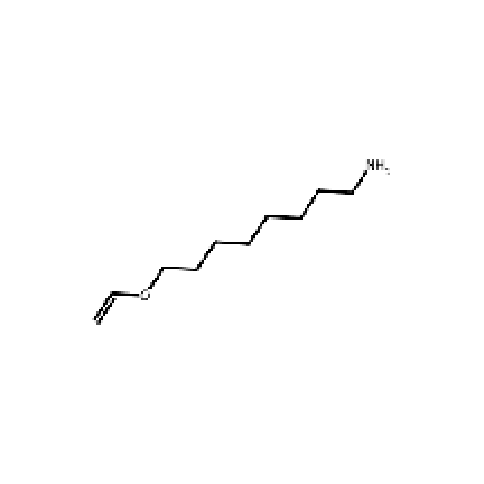 C=COCCCCCCCCN